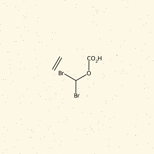 C=C.O=C(O)OC(Br)Br